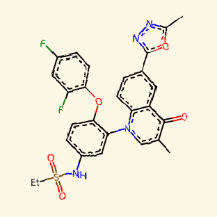 CCS(=O)(=O)Nc1ccc(Oc2ccc(F)cc2F)c(-n2cc(C)c(=O)c3cc(-c4nnc(C)o4)ccc32)c1